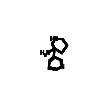 NC1(c2cccnc2)CCCNC1